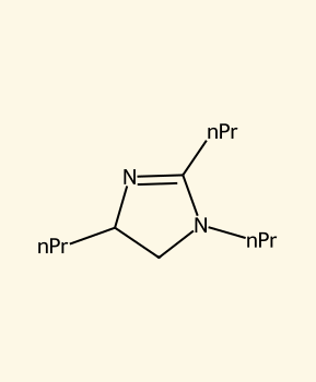 CCCC1=NC(CCC)CN1CCC